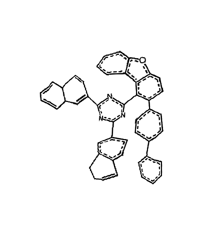 C1=CC2C=CC(c3nc(-c4ccc5c(c4)CCC=C5)nc(-c4c(-c5ccc(-c6ccccc6)cc5)ccc5oc6ccccc6c45)n3)=CC2C=C1